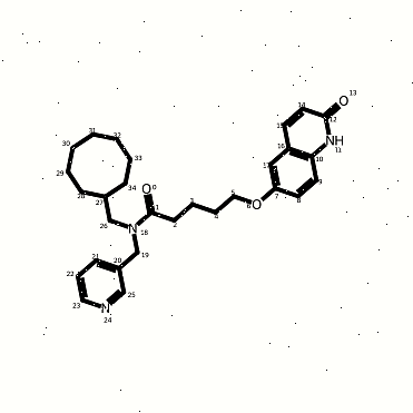 O=C(CCCCOc1ccc2[nH]c(=O)ccc2c1)N(Cc1cccnc1)CC1CCCCCCC1